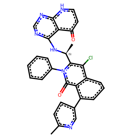 Cc1ccc(-c2cccc3c(Cl)c([C@H](C)Nc4ncnc5[nH]ccc(=O)c45)n(-c4ccccc4)c(=O)c23)cn1